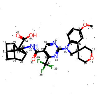 COc1ccc2c(c1)C1(CCOCC1)CN2c1ncc(C(=O)NC2(C(=O)O)C3CC4CC5CC2C45C3)c(C(F)(F)F)n1